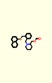 O=COCC1CCCCN1Cc1ccccc1CSc1cccc2ccccc12